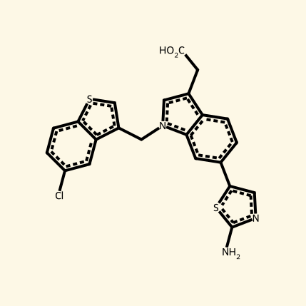 Nc1ncc(-c2ccc3c(CC(=O)O)cn(Cc4csc5ccc(Cl)cc45)c3c2)s1